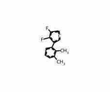 Cc1cccc(-c2cc[c]c(F)c2F)c1C